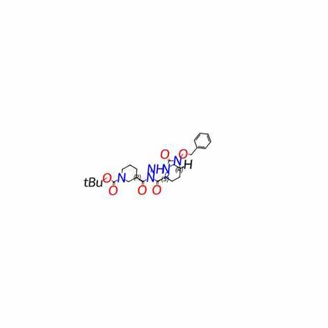 CC(C)(C)OC(=O)N1CCC[C@@H](C(=O)N(N)C(=O)[C@@H]2CC[C@@H]3CN2C(=O)N3OCc2ccccc2)C1